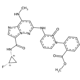 CNc1cc(Nc2cccn(-c3ccccc3C(=O)OC)c2=O)nn2c(C(=O)N[C@@H]3C[C@@H]3F)cnc12